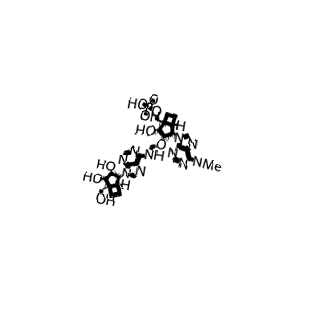 CNc1ncnc2c1ncn2[C@H]1[C@H](OCNc2ncnc3c2ncn3[C@H]2[C@H](O)[C@H](O)[C@]3(CO)CC[C@H]23)[C@H](O)[C@]2(COP(=O)(O)O)CC[C@H]12